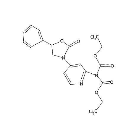 O=C1OC(c2ccccc2)CN1c1ccnc(N(C(=O)OCC(Cl)(Cl)Cl)C(=O)OCC(Cl)(Cl)Cl)c1